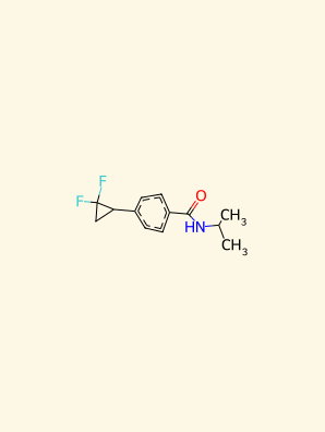 CC(C)NC(=O)c1ccc(C2CC2(F)F)cc1